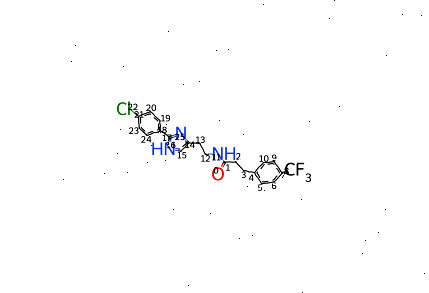 O=C(CCc1ccc(C(F)(F)F)cc1)NCCc1c[nH]c(-c2ccc(Cl)cc2)n1